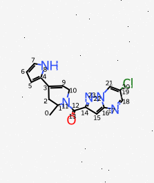 CC1CC(c2ccc[nH]2)=CCN1C(=O)c1cc2ncc(Cl)cn2n1